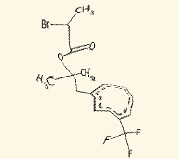 CC(Br)C(=O)OC(C)(C)Cc1cccc(C(F)(F)F)c1